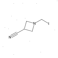 N#CC1CN(CI)C1